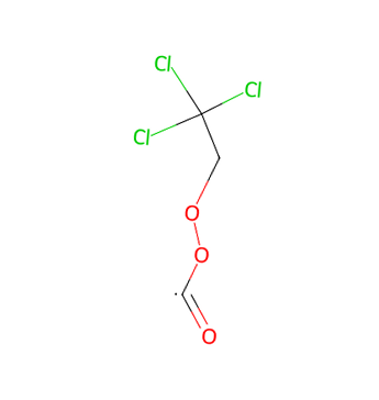 O=[C]OOCC(Cl)(Cl)Cl